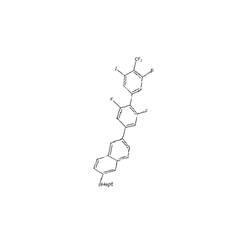 CCCCCCCc1ccc2cc(-c3cc(F)c(-c4cc(F)c(C(F)(F)F)c(F)c4)c(F)c3)ccc2c1